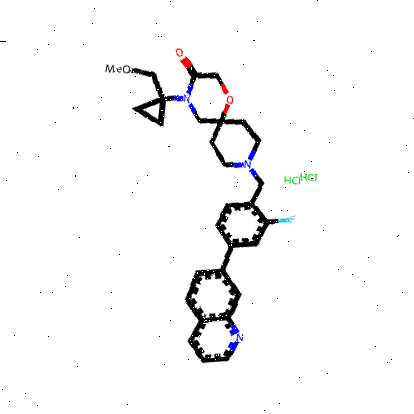 COCC1(N2CC3(CCN(Cc4ccc(-c5ccc6cccnc6c5)cc4F)CC3)OCC2=O)CC1.Cl.Cl